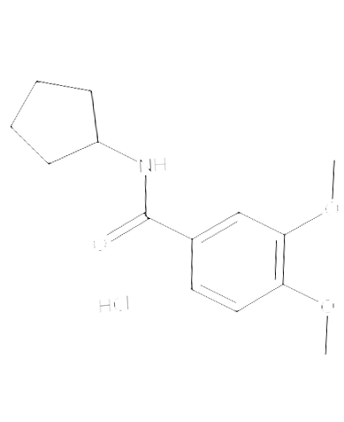 COc1ccc(C(=O)NC2CCCC2)cc1OC.Cl